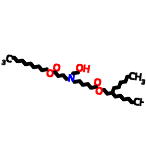 CCCCCCCCCCOC(=O)CCCN(CCO)CCCCCC(=O)OCCC(CCCCCC)CCCCCC